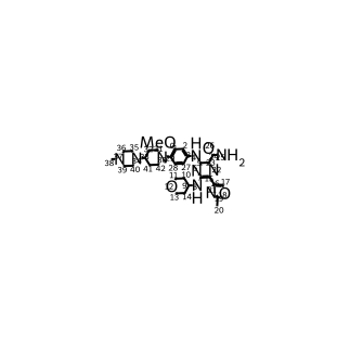 COc1cc(Nc2nc(NC3CCOCC3)c(-c3coc(C)n3)nc2C(N)=O)ccc1N1CCC(N2CCN(C)CC2)CC1